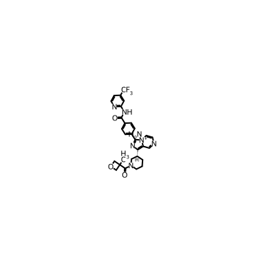 CC1(C(=O)N2CCC[C@@H](C3=C4C=NC=C[N+]4(N)C(c4ccc(C(=O)Nc5cc(C(F)(F)F)ccn5)cc4)=N3)C2)COC1